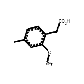 CCCOc1cc(C)ccc1CC(=O)O